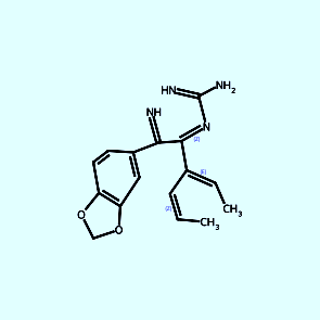 C\C=C/C(=C\C)C(=N/C(=N)N)/C(=N)c1ccc2c(c1)OCO2